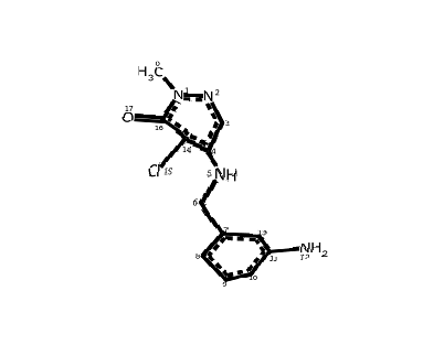 Cn1ncc(NCc2cccc(N)c2)c(Cl)c1=O